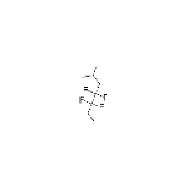 CCC(F)(F)C(F)(F)CC(C)C